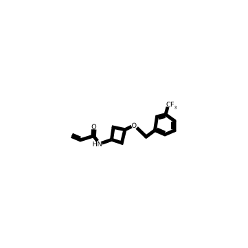 C=CC(=O)NC1CC(OCc2cccc(C(F)(F)F)c2)C1